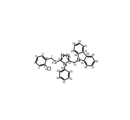 Clc1ccccc1CSc1nnc(Cn2c3ccccc3c3ccccc32)n1-c1ccccc1